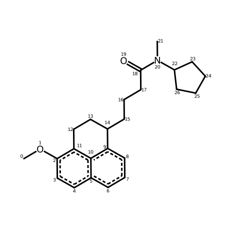 COc1ccc2cccc3c2c1CCC3CCCC(=O)N(C)C1CCCC1